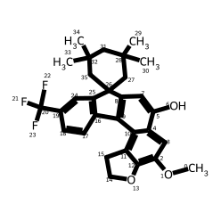 COc1cc2c(O)cc3c(c2c2c1OCC2)-c1ccc(C(F)(F)F)cc1C31CC(C)(C)CC(C)(C)C1